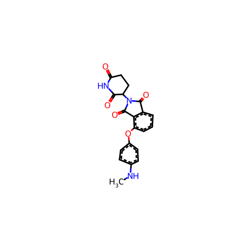 CNc1ccc(Oc2cccc3c2C(=O)N(C2CCC(=O)NC2=O)C3=O)cc1